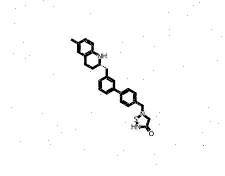 Cc1ccc2c(c1)CC[C@@H](Cc1cccc(-c3ccc(CN4CC(=O)NS4)cc3)c1)N2